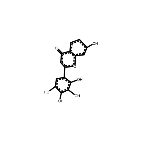 O=c1cc(-c2cc(O)c(O)c(O)c2O)oc2cc(O)ccc12